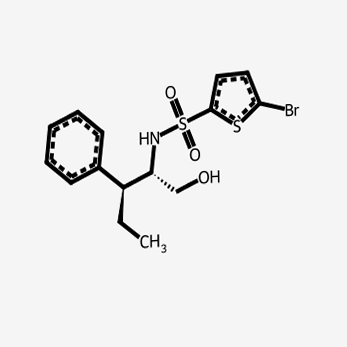 CC[C@@H](c1ccccc1)[C@@H](CO)NS(=O)(=O)c1ccc(Br)s1